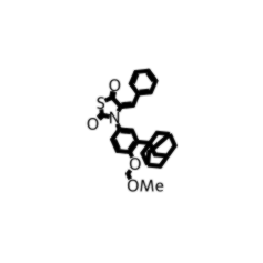 COCOc1ccc(N2C(=O)SC(=O)C2=Cc2ccccc2)cc1C12CC3CC(CC(C3)C1)C2